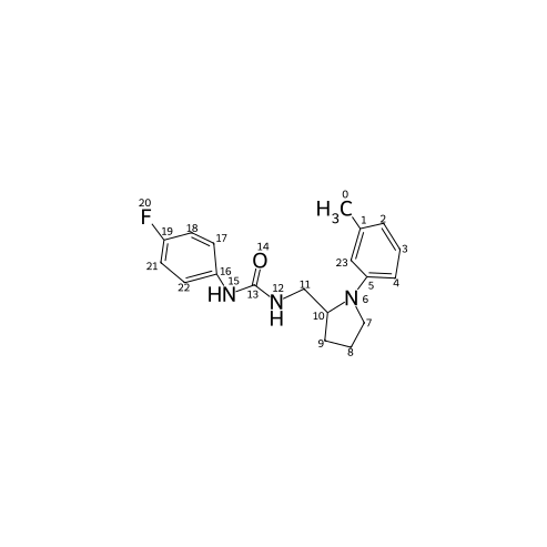 Cc1cccc(N2CCCC2CNC(=O)Nc2ccc(F)cc2)c1